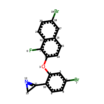 Fc1c(Oc2cc(Br)ccc2C2=NC2)ccc2cc(Br)ccc12